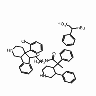 CC(C(N)=O)(c1ccccc1)C1CCNCC1c1ccccc1.CC(C(N)=O)C1(c2ccccc2Cl)CCNCC1c1ccccc1.CCCCC(C(=O)O)c1ccccc1